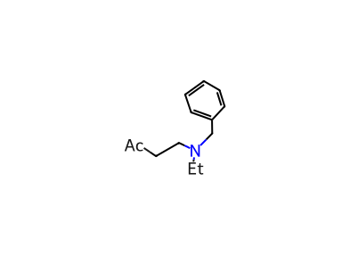 CCN(CCC(C)=O)Cc1ccccc1